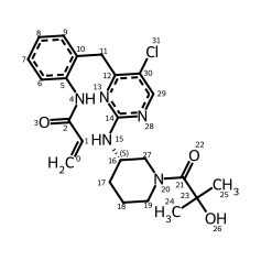 C=CC(=O)Nc1ccccc1Cc1nc(N[C@H]2CCCN(C(=O)C(C)(C)O)C2)ncc1Cl